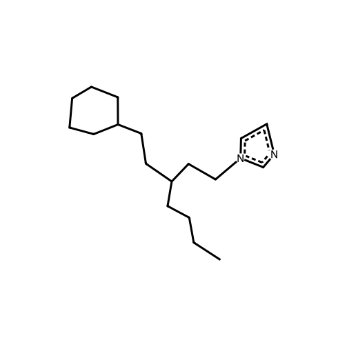 CCCCC(CCC1CCCCC1)CCn1ccnc1